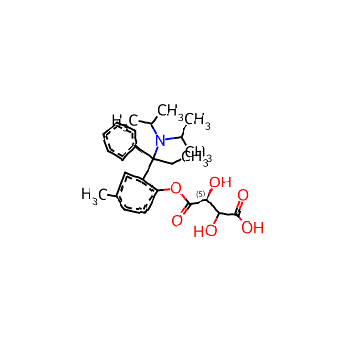 CCC(c1ccccc1)(c1cc(C)ccc1OC(=O)[C@@H](O)C(O)C(=O)O)N(C(C)C)C(C)C